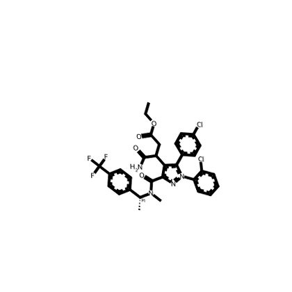 CCOC(=O)CC(C(N)=O)c1c(C(=O)N(C)[C@H](C)c2ccc(C(F)(F)F)cc2)nn(-c2ccccc2Cl)c1-c1ccc(Cl)cc1